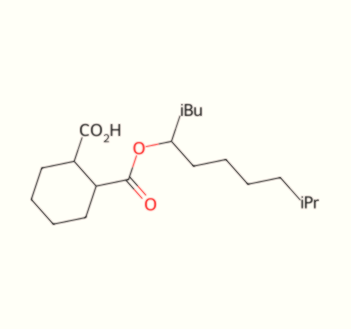 CCC(C)C(CCCCC(C)C)OC(=O)C1CCCCC1C(=O)O